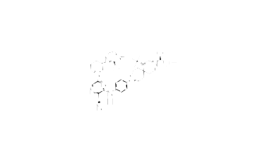 CN1CCN(C2CCCN(c3cnc(C#N)c(Nc4ccc(N5CCC6(CCN(C(=O)O)C[C@@H]6C(C)(C)C)CC5)cc4)n3)C2)C1=O